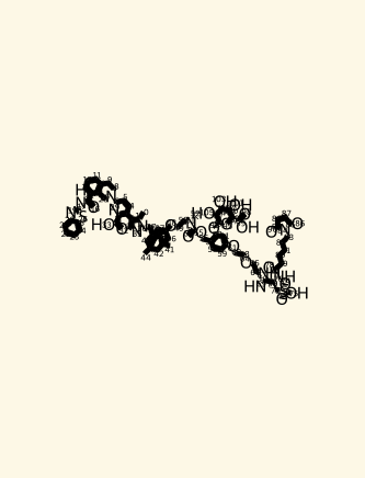 Cc1c(-c2ccc(N3CCc4cccc(C(=O)Nc5nc6ccccc6s5)c4C3)nc2C(=O)O)cnn1CC12CC3(C)CC(C)(C1)CC(OCCN(C)C(=O)OCc1ccc(OCCOCCNC(=N)[C@H](CS(=O)(=O)O)NC(=O)CCCCCN4C(=O)C=CC4=O)cc1O[C@@H]1O[C@H](C(=O)O)[C@@H](O)[C@H](O)[C@H]1O)(C3)C2